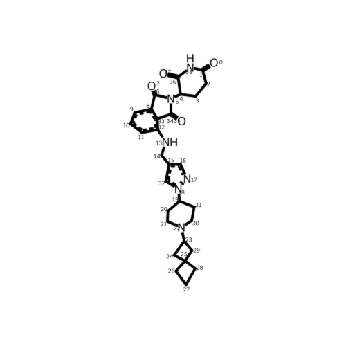 O=C1CCC(N2C(=O)c3cccc(NCc4cnn(C5CCN(C6CC7(CCC7)C6)CC5)c4)c3C2=O)C(=O)N1